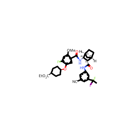 CCOC(=O)[C@H]1CC[C@@H](Oc2cc(C(=O)N[C@@H]3[C@H]4CC[C@H](C4)[C@@H]3C(=O)Nc3cc(C#N)cc(C(C)(F)I)c3)c(OC)cc2F)CC1